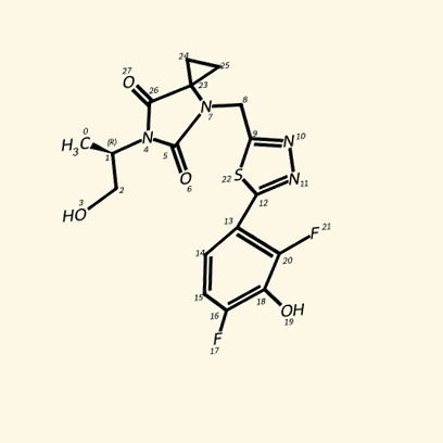 C[C@H](CO)N1C(=O)N(Cc2nnc(-c3ccc(F)c(O)c3F)s2)C2(CC2)C1=O